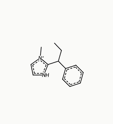 CCC(c1ccccc1)c1[nH]cc[n+]1C